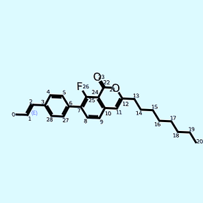 C/C=C/c1ccc(-c2ccc3cc(CCCCCCCC)oc(=O)c3c2F)cc1